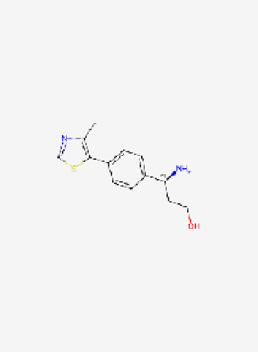 Cc1ncsc1-c1ccc([C@@H](N)CCO)cc1